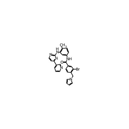 Cc1ccc(NC(=O)c2ccc(Cn3cccc3)c(Br)c2)cc1Nc1nccc(-c2cccnc2)n1